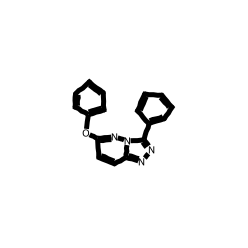 c1ccc(Oc2ccc3nnc(-c4ccccc4)n3n2)cc1